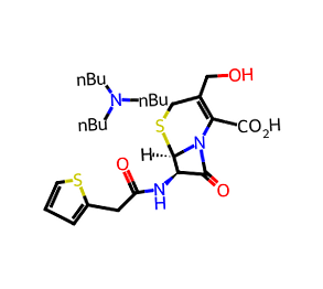 CCCCN(CCCC)CCCC.O=C(Cc1cccs1)N[C@@H]1C(=O)N2C(C(=O)O)=C(CO)CS[C@H]12